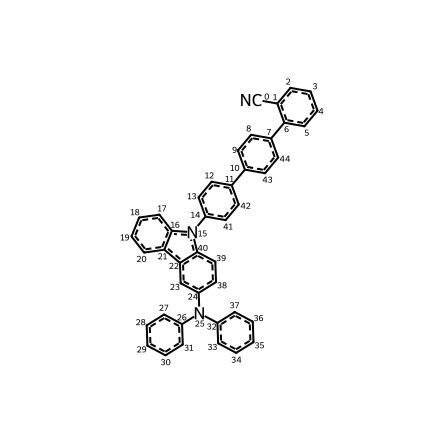 N#Cc1ccccc1-c1ccc(-c2ccc(-n3c4ccccc4c4cc(N(c5ccccc5)c5ccccc5)ccc43)cc2)cc1